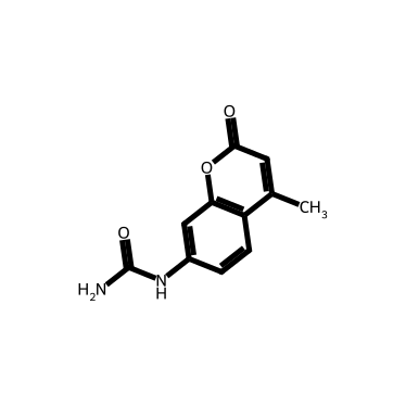 Cc1cc(=O)oc2cc(NC(N)=O)ccc12